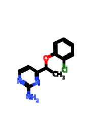 CC(Oc1ccccc1Cl)c1ccnc(N)n1